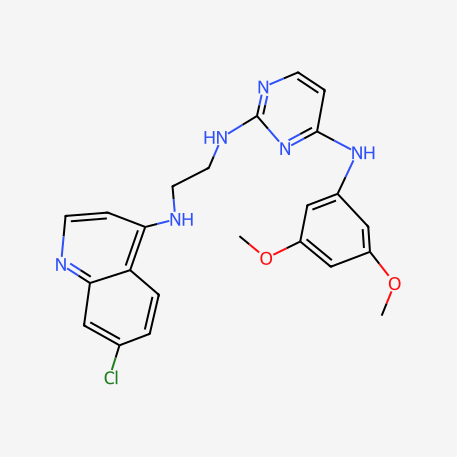 COc1cc(Nc2ccnc(NCCNc3ccnc4cc(Cl)ccc34)n2)cc(OC)c1